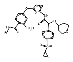 CC(C)NC(=O)c1ccc(Oc2cnc(NC(=O)C(OC3CCOCC3)c3ccc(S(=O)(=O)C4CC4)cc3)s2)cc1C(=O)O